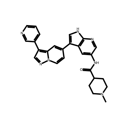 CN1CCC(C(=O)Nc2cnc3[nH]cc(-c4ccn5ncc(-c6cccnc6)c5c4)c3c2)CC1